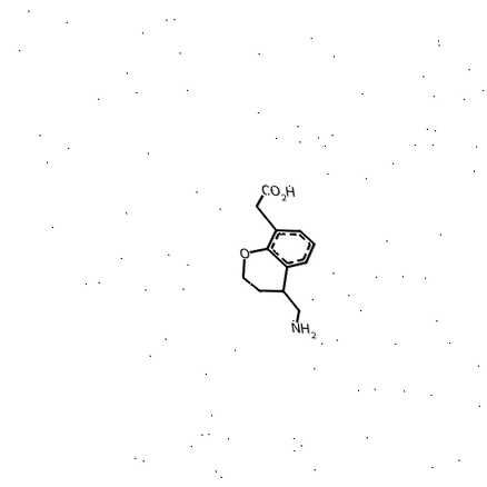 NCC1CCOc2c(CC(=O)O)cccc21